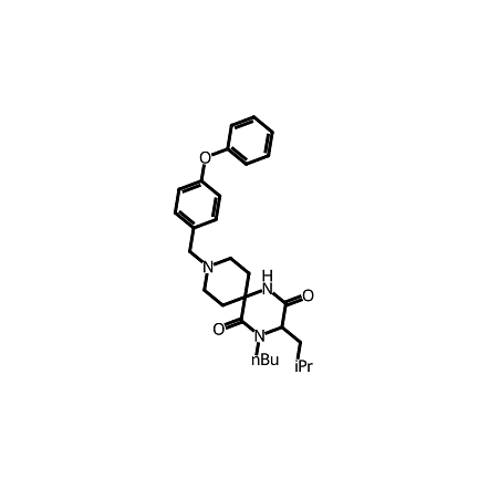 CCCCN1C(=O)C2(CCN(Cc3ccc(Oc4ccccc4)cc3)CC2)NC(=O)C1CC(C)C